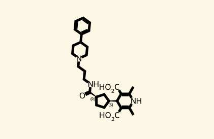 CC1=C(C(=O)O)C([C@H]2CC[C@@H](C(=O)NCCCN3CCC(c4ccccc4)CC3)C2)C(C(=O)O)=C(C)N1